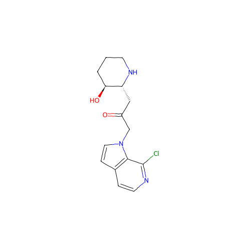 O=C(C[C@H]1NCCC[C@@H]1O)Cn1ccc2ccnc(Cl)c21